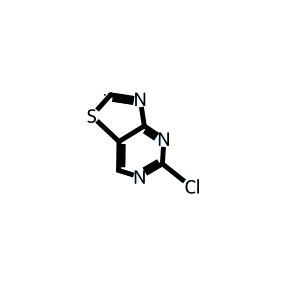 Clc1ncc2s[c]nc2n1